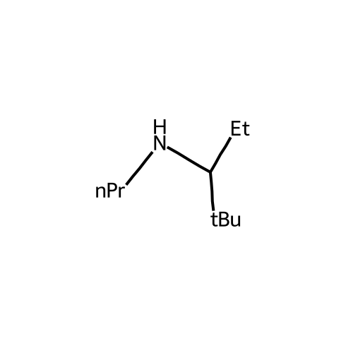 CCCNC(CC)C(C)(C)C